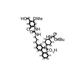 COc1cc(NC(=O)NCCCc2ccc(-c3ccccc3)c(N(C(=O)O)C3CCC(NC(=O)OC(C)(C)C)CC3)c2)c(Cl)cc1CO